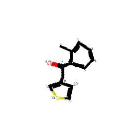 Cc1ccccc1C(=O)c1ccsc1